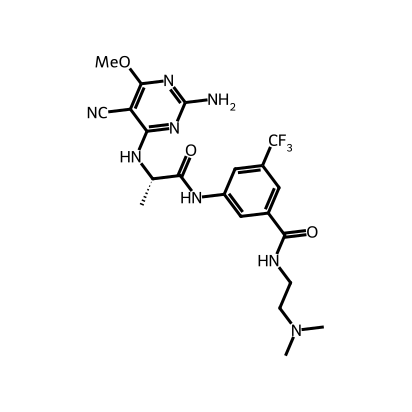 COc1nc(N)nc(N[C@@H](C)C(=O)Nc2cc(C(=O)NCCN(C)C)cc(C(F)(F)F)c2)c1C#N